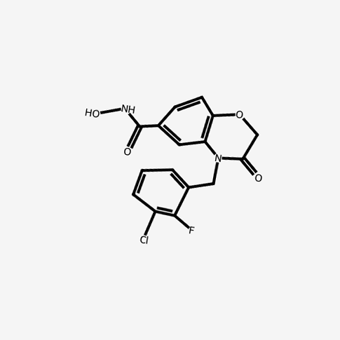 O=C(NO)c1ccc2c(c1)N(Cc1cccc(Cl)c1F)C(=O)CO2